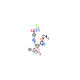 CCOc1cncc(-c2cc(CN3CCN(c4ccc(C(=O)NCC(F)(F)F)cc4)CC3)cc(OC(C)C)c2)c1